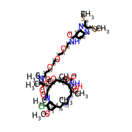 COc1cc2cc(c1Cl)N(C)C(=O)C[C@H](OC(=O)[C@@H](C)N(C)C(=O)CCOCCOCCOCCNC(=O)c1ccc3nc(CSC)c(CSC)nc3c1)[C@]1(C)OC1[C@H](C)[C@@H]1C[C@@](O)(NC(=O)O1)[C@H](OC)/C=C/C=C(\C)C2